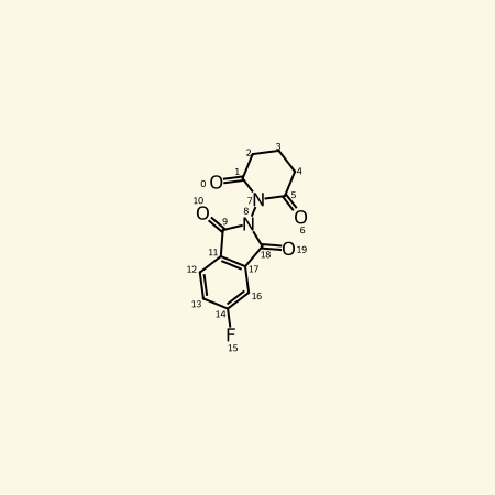 O=C1CCCC(=O)N1N1C(=O)c2ccc(F)cc2C1=O